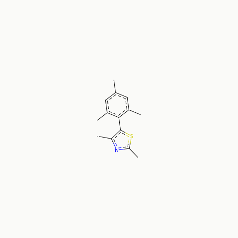 [CH2]c1nc(C)sc1-c1c(C)cc(C)cc1C